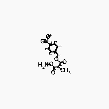 CC(C(=O)ON)C(=O)OCc1ccc([N+](=O)[O-])cc1